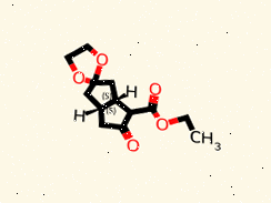 CCOC(=O)C1C(=O)C[C@@H]2CC3(C[C@H]12)OCCO3